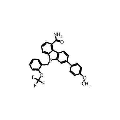 COc1ccc(-c2c[c]c3c4c(C(N)=O)cccc4n(Cc4ccccc4OC(F)(F)F)c3c2)cc1